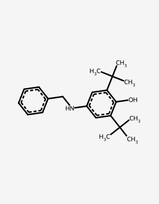 CC(C)(C)c1cc(NCc2ccccc2)cc(C(C)(C)C)c1O